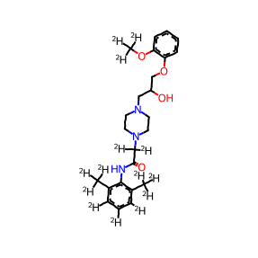 [2H]c1c([2H])c(C([2H])([2H])[2H])c(NC(=O)C([2H])([2H])N2CCN(CC(O)COc3ccccc3OC([2H])([2H])[2H])CC2)c(C([2H])([2H])[2H])c1[2H]